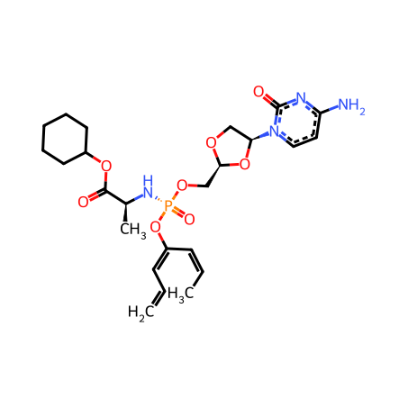 C=C/C=C(\C=C/C)O[P@@](=O)(N[C@@H](C)C(=O)OC1CCCCC1)OC[C@H]1OC[C@@H](n2ccc(N)nc2=O)O1